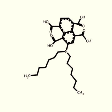 CCCCCCCN(CCCCCCC)c1cc(C(=O)O)c2c(C(=O)O)ccc(C(=O)O)c2c1C(=O)O